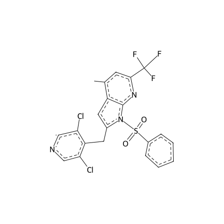 Cc1cc(C(F)(F)F)nc2c1cc(Cc1c(Cl)[c]ncc1Cl)n2S(=O)(=O)c1ccccc1